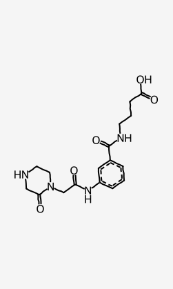 O=C(O)CCCNC(=O)c1cccc(NC(=O)CN2CCNCC2=O)c1